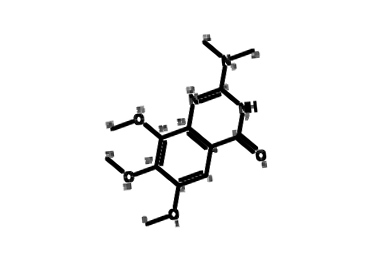 COc1cc2c(=O)[nH]c(N(C)C)nc2c(OC)c1OC